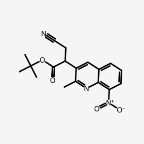 Cc1nc2c([N+](=O)[O-])cccc2cc1C(CC#N)C(=O)OC(C)(C)C